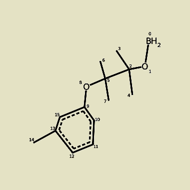 BOC(C)(C)C(C)(C)Oc1cccc(C)c1